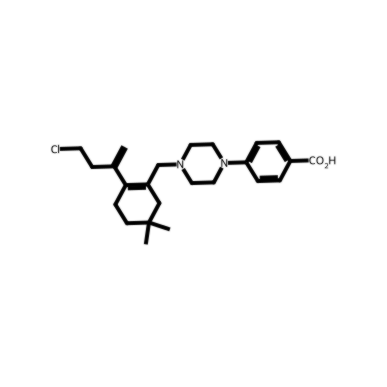 C=C(CCCl)C1=C(CN2CCN(c3ccc(C(=O)O)cc3)CC2)CC(C)(C)CC1